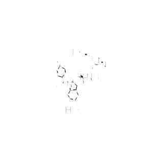 C#CCCC1(CCNC(=O)Cc2c(C)n(C(=O)c3ccc(Cl)cc3)c3ccc(CO)cc23)N=N1